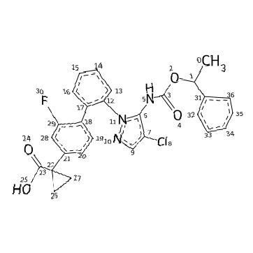 CC(OC(=O)Nc1c(Cl)cnn1-c1ccccc1-c1ccc(C2(C(=O)O)CC2)cc1F)c1ccccc1